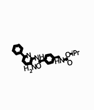 CC(C)OC(=O)NCc1ccc(C(=O)Nc2nc(-c3ccccc3)ccc2N)cc1